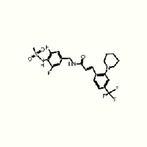 CS(=O)(=O)Nc1c(F)cc(CNC(=O)/C=C/c2ccc(C(F)(F)F)cc2N2CCCCC2)cc1F